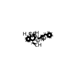 C#CC[C@H]1C[C@@H](NC(=O)c2cc(Cc3ccccc3)on2)C(=O)N(C)c2ccccc21